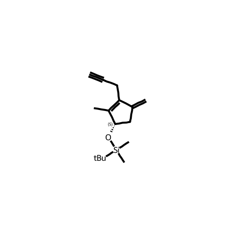 C#CCC1=C(C)[C@@H](O[Si](C)(C)C(C)(C)C)CC1=C